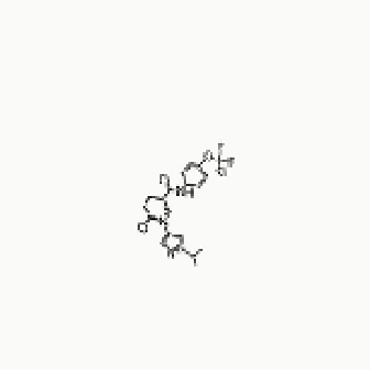 CC(C)n1cc(-n2cc(C(=O)Nc3ccc(OC(F)(F)Cl)cc3)ccc2=O)cn1